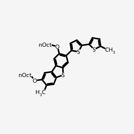 CCCCCCCCOc1cc2c(cc1C)sc1cc(-c3ccc(-c4ccc(C)s4)s3)c(OCCCCCCCC)cc12